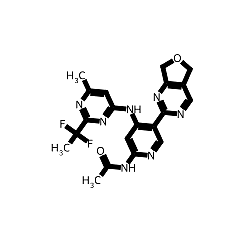 CC(=O)Nc1cc(Nc2cc(C)nc(C(C)(F)F)n2)c(-c2ncc3c(n2)COC3)cn1